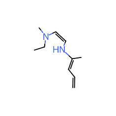 C=C/C=C(\C)N/C=C\N(C)CC